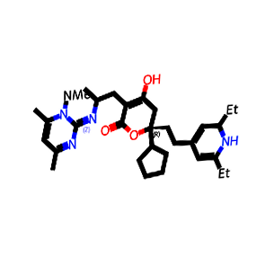 CCC1=CC(CC[C@]2(C3CCCC3)CC(O)=C(CC(C)/N=c3/nc(C)cc(C)n3NC)C(=O)O2)=CC(CC)N1